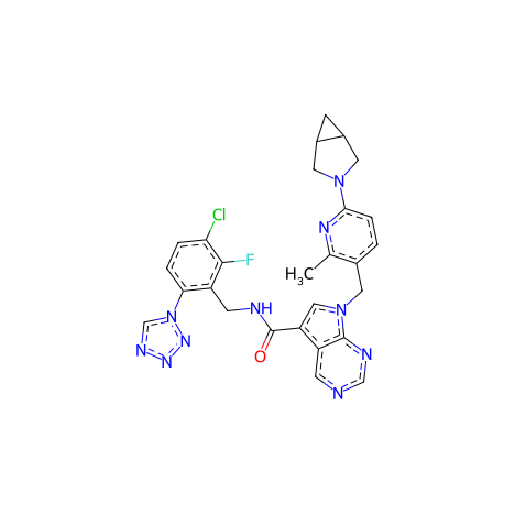 Cc1nc(N2CC3CC3C2)ccc1Cn1cc(C(=O)NCc2c(-n3cnnn3)ccc(Cl)c2F)c2cncnc21